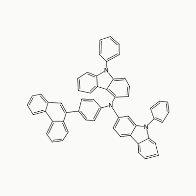 c1ccc(-n2c3ccccc3c3ccc(N(c4ccc(-c5cc6ccccc6c6ccccc56)cc4)c4cccc5c4c4ccccc4n5-c4ccccc4)cc32)cc1